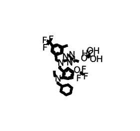 CCN(CC1CCCCC1)c1ccc(OC(F)(F)F)cc1CN(Cc1cc(C)cc(C(F)(F)F)c1)c1nnn(C)n1.Cl.O=C(O)O